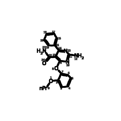 CCCOc1ccccc1Oc1nc(N)nc(-c2ccccc2)c1C(N)=O